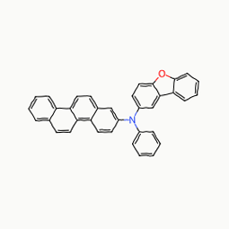 c1ccc(N(c2ccc3c(ccc4c5ccccc5ccc34)c2)c2ccc3oc4ccccc4c3c2)cc1